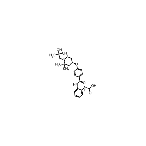 CC(C)(O)CN1CCC(Oc2ccc(C(=O)Nc3ccccc3NC(=O)O)cc2)CC1(C)C